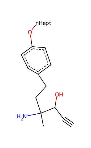 C#CC(O)C(C)(N)CCc1ccc(OCCCCCCC)cc1